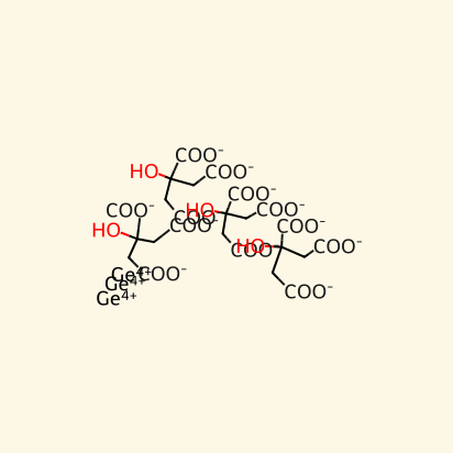 O=C([O-])CC(O)(CC(=O)[O-])C(=O)[O-].O=C([O-])CC(O)(CC(=O)[O-])C(=O)[O-].O=C([O-])CC(O)(CC(=O)[O-])C(=O)[O-].O=C([O-])CC(O)(CC(=O)[O-])C(=O)[O-].[Ge+4].[Ge+4].[Ge+4]